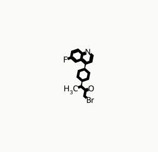 CC(C(=O)CBr)[C@H]1CC[C@@H](c2ccnc3ccc(F)cc32)CC1